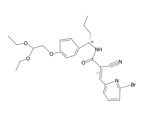 CCC[C@H](NC(=O)/C(C#N)=C/c1cccc(Br)n1)c1ccc(OCC(OCC)OCC)cc1